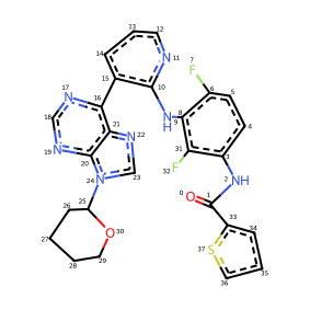 O=C(Nc1ccc(F)c(Nc2ncccc2-c2ncnc3c2ncn3C2CCCCO2)c1F)c1cccs1